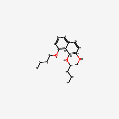 CCCCOc1cccc2ccc(OC)c(OCCCC)c12